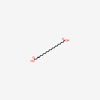 O=C(O)C/C=C/CCCCCCCCCCCCCCCCC(=O)O